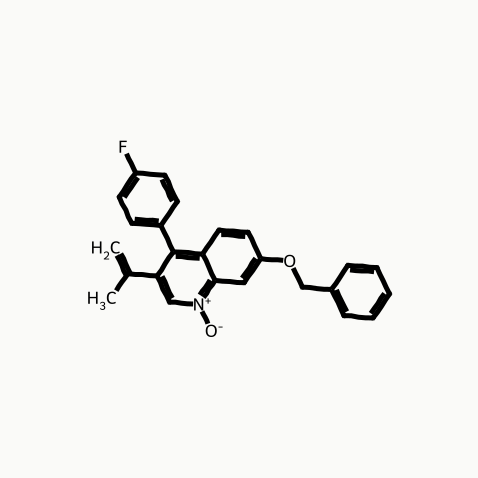 C=C(C)c1c[n+]([O-])c2cc(OCc3ccccc3)ccc2c1-c1ccc(F)cc1